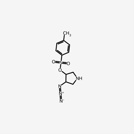 Cc1ccc(S(=O)(=O)OC2CNCC2N=[N+]=[N-])cc1